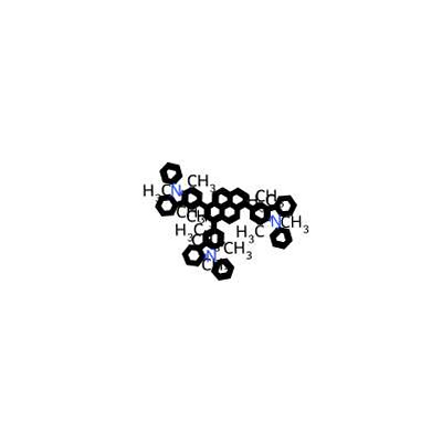 Cc1cc(-c2ccc3ccc4c(-c5cc(C)c6c(c5C)C5(C)CCCCC5(C)N6c5ccccc5)cc(-c5cc(C)c6c(c5C)C5(C)CCCCC5(C)N6c5ccccc5)c5ccc2c3c45)c(C)c2c1N(c1ccccc1)C1(C)CCCCC21C